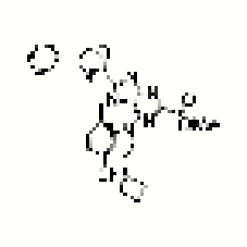 COC(=O)c1nc(NCCC2CCC2)c2c(n1)nc(C1=N[C@H](c3ccccc3)CO1)n2Cc1ccc(C(F)(F)F)cc1